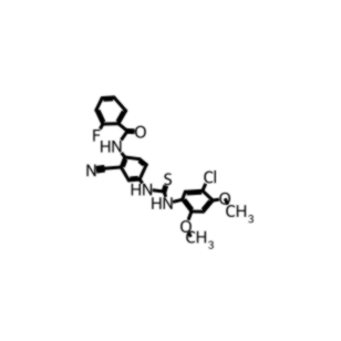 COc1cc(OC)c(NC(=S)Nc2ccc(NC(=O)c3ccccc3F)c(C#N)c2)cc1Cl